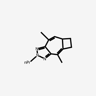 CCCn1nc2c(n1)C(C)=C1CCC1C=C2C